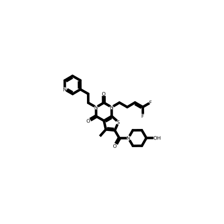 Cc1c(C(=O)N2CCC(O)CC2)sc2c1c(=O)n(CCc1cccnc1)c(=O)n2CCC=C(F)F